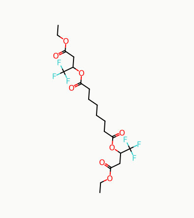 CCOC(=O)CC(OC(=O)CCCCCCC(=O)OC(CC(=O)OCC)C(F)(F)F)C(F)(F)F